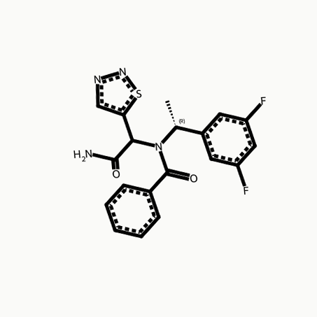 C[C@H](c1cc(F)cc(F)c1)N(C(=O)c1ccccc1)C(C(N)=O)c1cnns1